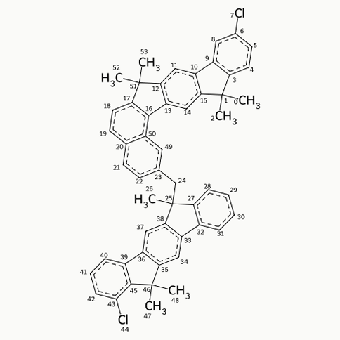 CC1(C)c2ccc(Cl)cc2-c2cc3c(cc21)-c1c(ccc2ccc(CC4(C)c5ccccc5-c5cc6c(cc54)-c4cccc(Cl)c4C6(C)C)cc12)C3(C)C